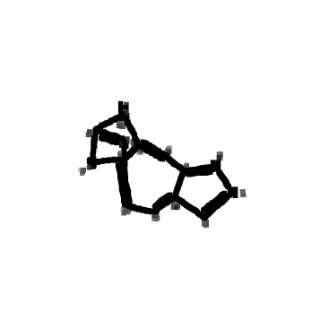 c1nnc2cc3c4sc(nc4cc1-2)N3